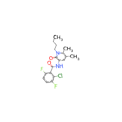 CCCCn1c(C)c(C)cc(NC(=O)c2c(F)ccc(F)c2Cl)c1=O